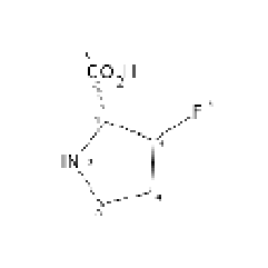 O=C(O)[C@H]1NCCC1F